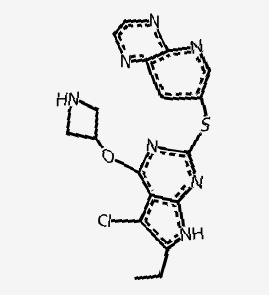 CCc1[nH]c2nc(Sc3cnc4nccnc4c3)nc(OC3CNC3)c2c1Cl